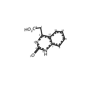 O=C(O)Cc1nc(=O)[nH]c2ccccc12